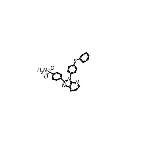 NS(=O)(=O)c1ccc(-c2nc3cccnc3n2-c2ccc(Sc3ccccc3)cc2)cc1